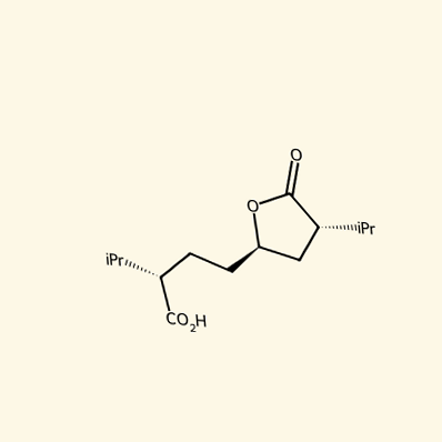 CC(C)[C@H](CC[C@@H]1C[C@@H](C(C)C)C(=O)O1)C(=O)O